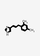 Cc1ccc(CC=Cc2c[nH]cn2)c(C)c1